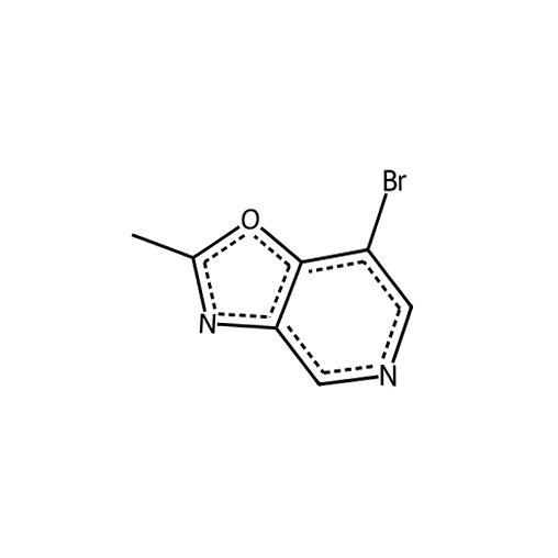 Cc1nc2cncc(Br)c2o1